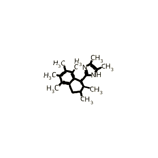 Cc1nc(C2c3c(C)c(C)c(C)c(C)c3CC(C)C2C)[nH]c1C